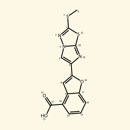 CSc1nn2cc(-c3cc4c(C(=O)O)cccc4o3)nc2s1